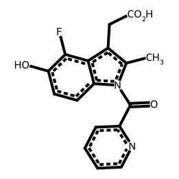 Cc1c(CC(=O)O)c2c(F)c(O)ccc2n1C(=O)c1ccccn1